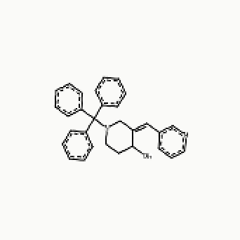 OC1CCN(C(c2ccccc2)(c2ccccc2)c2ccccc2)CC1=Cc1cccnc1